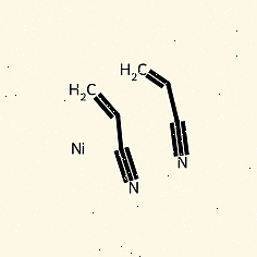 C=CC#N.C=CC#N.[Ni]